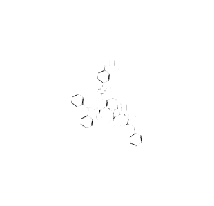 Cc1ccc(S(=O)(=O)OC2=C(C(=O)OC(c3ccccc3)c3ccccc3)N3C(=O)[C@@H](NC(=O)Cc4ccccc4)[C@H]3SC2)cc1